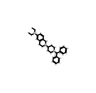 CCN(CC)c1ccc2c(c1)CCN(C1CCN(C(c3ccccc3)c3ccccc3)CC1)C2